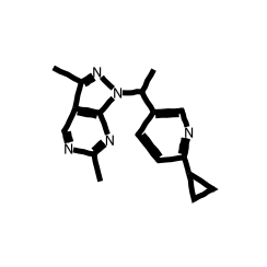 Cc1ncc2c(C)nn(C(C)c3ccc(C4CC4)nc3)c2n1